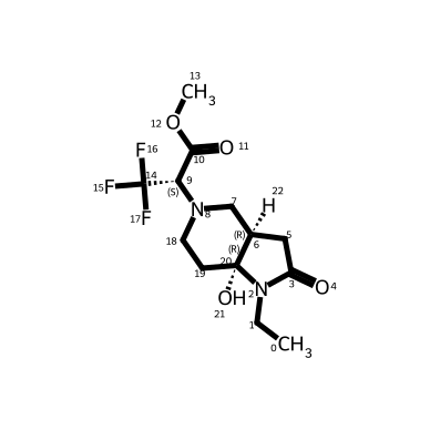 CCN1C(=O)C[C@@H]2CN([C@@H](C(=O)OC)C(F)(F)F)CC[C@@]21O